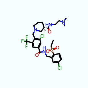 CCS(=O)(=O)c1ccc(Cl)cc1CNC(=O)c1cc(Cl)c(CN2CCC[C@H](C(=O)NCCN(C)C)C2)c(C(F)(F)F)c1